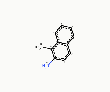 Nc1ccc2ccccc2c1C(=O)O